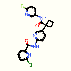 O=C(Nc1ccc(C2(C(=O)Nc3ccc(F)nc3)CCC2)cn1)c1cccc(Cl)n1